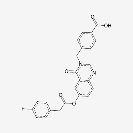 O=C(Cc1ccc(F)cc1)Oc1ccc2ncn(Cc3ccc(C(=O)O)cc3)c(=O)c2c1